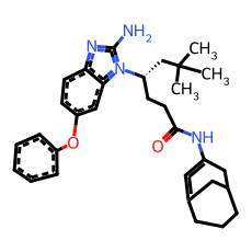 CC(C)(C)C[C@H](CCC(=O)NC1=C=C2CCCC(C2)C1)n1c(N)nc2ccc(Oc3ccccc3)cc21